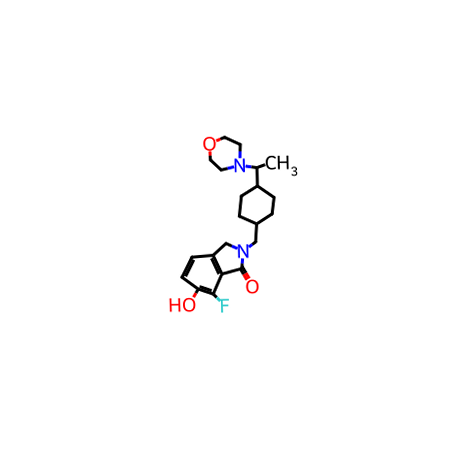 CC(C1CCC(CN2Cc3ccc(O)c(F)c3C2=O)CC1)N1CCOCC1